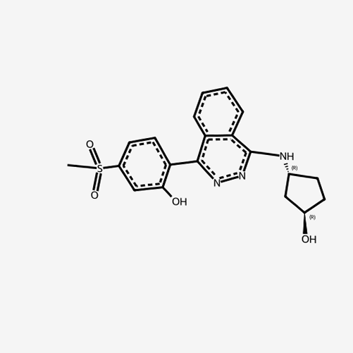 CS(=O)(=O)c1ccc(-c2nnc(N[C@@H]3CC[C@@H](O)C3)c3ccccc23)c(O)c1